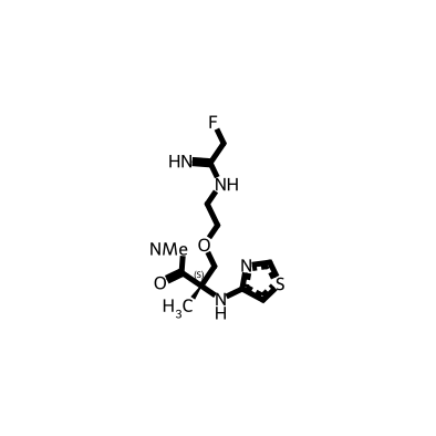 CNC(=O)[C@](C)(COCCNC(=N)CF)Nc1cscn1